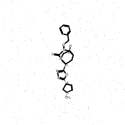 C[C@H]1CC[C@@H](c2nnc([C@@H]3CC[C@@H]4CN3C(=O)N4OCc3ccccc3)o2)C1